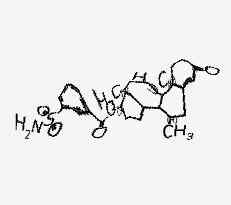 C[C@@H]1CC2=CC(=O)CC[C@]2(C)C2CC[C@@]3(C)C(CC[C@@H]3OC(=O)c3cccc(S(N)(=O)=O)c3)C21